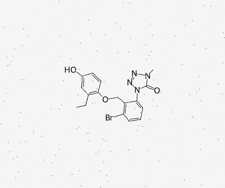 CCc1cc(O)ccc1OCc1c(Br)cccc1-n1nnn(C)c1=O